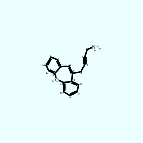 NCC#CCC1=Cc2ccccc2Oc2ccccc21